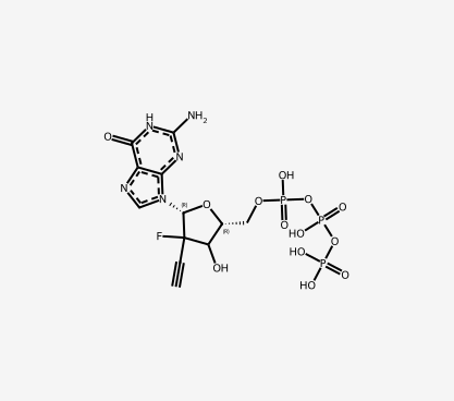 C#CC1(F)C(O)[C@@H](COP(=O)(O)OP(=O)(O)OP(=O)(O)O)O[C@H]1n1cnc2c(=O)[nH]c(N)nc21